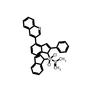 C[SiH](C)[Zr]([Cl])([Cl])([CH]1C=Cc2ccccc21)[CH]1C(c2ccccc2)=Cc2c(-c3cnc4ccccc4c3)cccc21